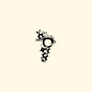 CO[C@]1(C)C[C@@H](C)CN(CC2CCC2)[C@H](CCCN2CCc3ncncc3C2)COC(=O)C(C)(C)C(=O)[C@H](C)[C@H]1O[C@@H]1O[C@H](C)C[C@H](N(C)C)[C@H]1O